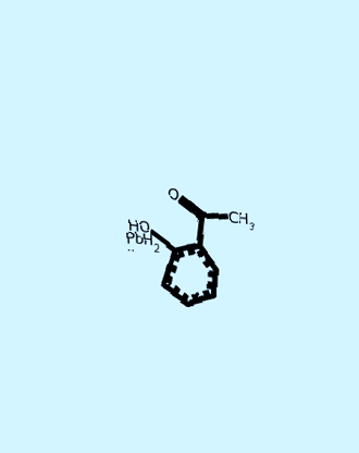 CC(=O)c1ccccc1O.[PbH2]